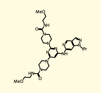 COCCNC(=O)N1CCN(c2cc(Nc3cc4c(cn3)cnn4C(C)C)nc(N3CCN(C(=O)NCCOC)CC3)n2)CC1